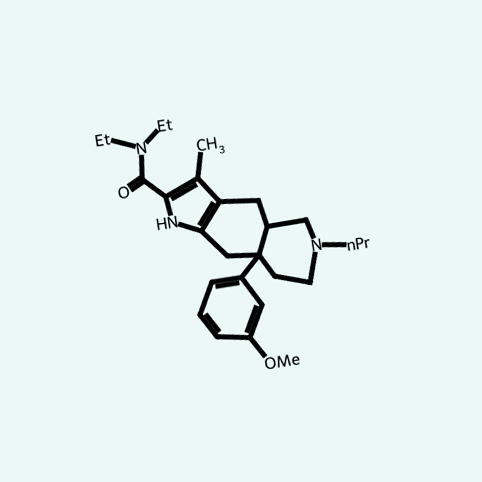 CCCN1CCC2(c3cccc(OC)c3)Cc3[nH]c(C(=O)N(CC)CC)c(C)c3CC2C1